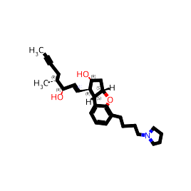 CC#CC[C@@H](C)[C@@H](O)/C=C/[C@@H]1[C@H]2c3cccc(CCCCN4CCCC4)c3O[C@H]2C[C@H]1O